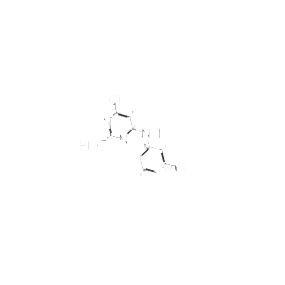 Cc1nc(Cl)cc(Nc2cccc(Cl)c2)n1